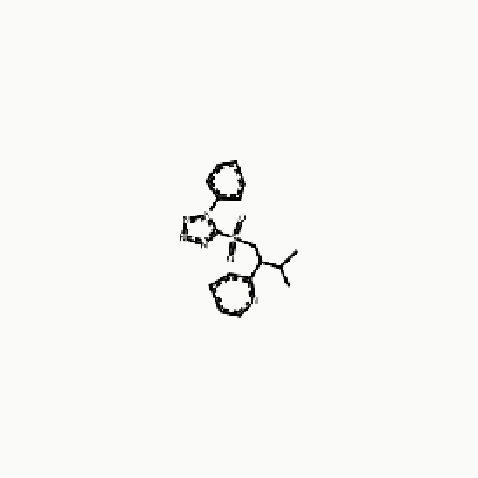 CC(C)C(CS(=O)(=O)c1nnnn1-c1ccccc1)c1ccccn1